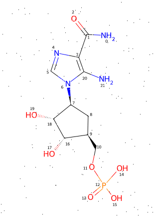 NC(=O)c1ncn([C@H]2C[C@@H](COP(=O)(O)O)[C@H](O)[C@@H]2O)c1N